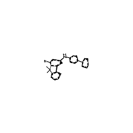 CC1(C)c2ccccc2-c2cc(Nc3ccc(-c4ccccc4)cc3)cc(Br)c21